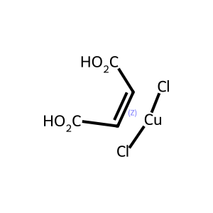 O=C(O)/C=C\C(=O)O.[Cl][Cu][Cl]